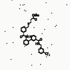 COC(=O)CCSCc1cccc(C(=O)Nc2ccccc2-c2cc(C(=O)NCc3cccc(C(F)(F)F)c3)ccn2)c1